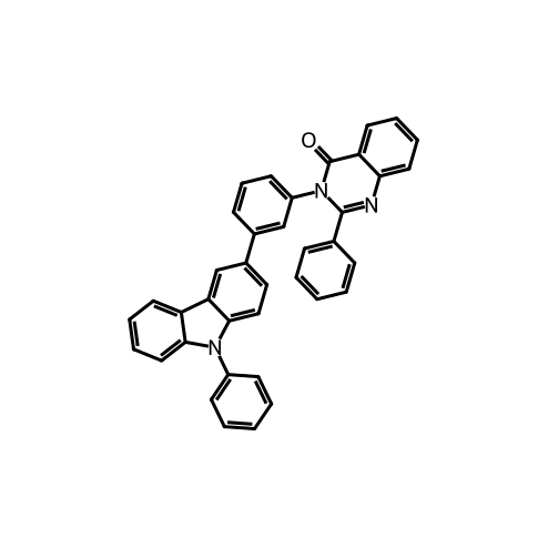 O=c1c2ccccc2nc(-c2ccccc2)n1-c1cccc(-c2ccc3c(c2)c2ccccc2n3-c2ccccc2)c1